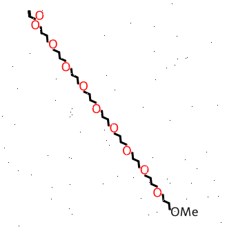 C=CC(=O)OCCCCOCCCCOCCCCOCCCCOCCCCOCCCCOCCCCOCCCCOCCCCOC